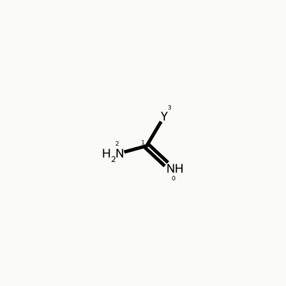 N=[C](N)[Y]